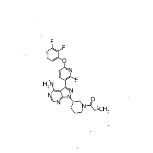 C=CC(=O)N1CCCC(n2nc(-c3ccc(Oc4cccc(F)c4F)nc3F)c3c(N)ncnc32)C1